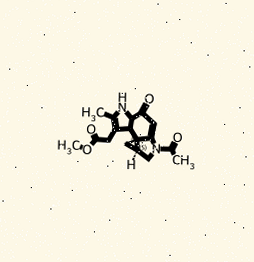 COC(=O)CC1=C(C)NC2C(=O)C=C3N(C(C)=O)C[C@H]4C[C@@]34C12